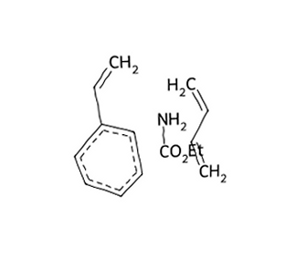 C=CC=C.C=Cc1ccccc1.CCOC(N)=O